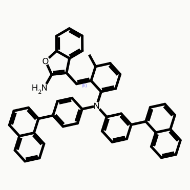 CC1C=CC=C(N(c2ccc(-c3cccc4ccccc34)cc2)c2cccc(-c3cccc4ccccc34)c2)/C1=C/c1c(N)oc2ccccc12